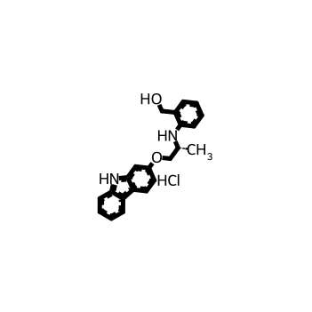 C[C@H](COc1ccc2c(c1)[nH]c1ccccc12)Nc1ccccc1CO.Cl